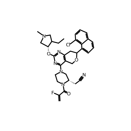 C=C(F)C(=O)N1CCN(c2nc(O[C@@H]3CN(C)CC3CC)nc3c2COC(c2cccc4cccc(Cl)c24)C3)C[C@@H]1CC#N